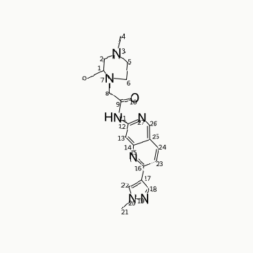 CC1CN(C)CCN1CC(=O)Nc1cc2nc(-c3cnn(C)c3)ccc2cn1